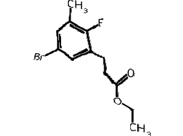 CCOC(=O)CCc1cc(Br)cc(C)c1F